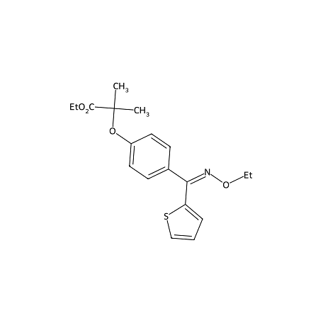 CCON=C(c1ccc(OC(C)(C)C(=O)OCC)cc1)c1cccs1